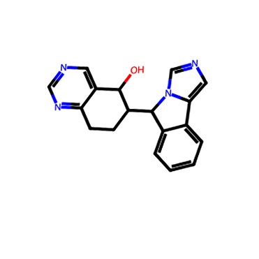 OC1c2cncnc2CCC1C1c2ccccc2-c2cncn21